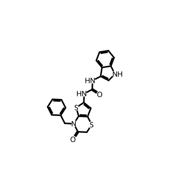 O=C(Nc1cc2c(s1)N(Cc1ccccc1)C(=O)CS2)Nc1c[nH]c2ccccc12